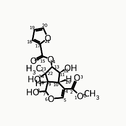 COC(=O)C1=COC(O)[C@H]2[C@@H]1[C@H](O)[C@H](OC(=O)c1ccco1)[C@]2(C)O